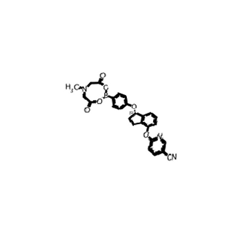 CN1CC(=O)OB(c2ccc(O[C@H]3CCc4c(Oc5ccc(C#N)cn5)cccc43)cc2)OC(=O)C1